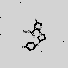 COC(=O)c1cc(Cl)cnc1N1CCC(Oc2ccc(F)cc2)C1